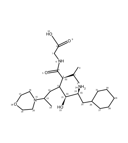 CC(C)[C@H](C(=O)NCC(=O)O)C(CC(C)N1CCOCC1)[C@H](O)[C@@H](N)CC1CCCCC1